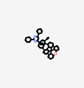 C#Cc1ccccc1-c1cccc2c1-c1c(-c3ccc(-c4cc(-c5ccccc5)nc(-c5ccccc5)n4)cc3)cccc1C21c2ccccc2Oc2ccccc21